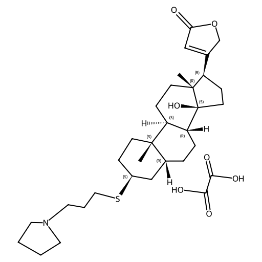 C[C@]12CC[C@H](SCCCN3CCCC3)C[C@H]1CC[C@@H]1[C@@H]2CC[C@]2(C)[C@@H](C3=CC(=O)OC3)CC[C@]12O.O=C(O)C(=O)O